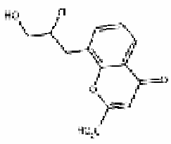 O=C(O)c1cc(=O)c2cccc(CC(Cl)CO)c2o1